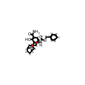 NC(=O)c1cccc(C2CC3CCC(C2)N3CCCNC(=O)OCc2ccccc2)c1O